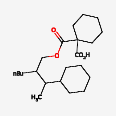 CCCCC(COC(=O)C1(C(=O)O)CCCCC1)C(C)C1CCCCC1